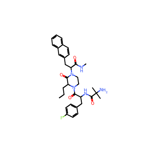 CCCC1C(=O)N(C(Cc2ccc3ccccc3c2)C(=O)NC)CCN1C(=O)C(Cc1ccc(F)cc1)NC(=O)C(C)(C)N